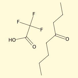 CCCCC(=O)CCC.O=C(O)C(F)(F)F